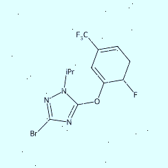 CC(C)n1nc(Br)nc1OC1=CC(C(F)(F)F)=CCC1F